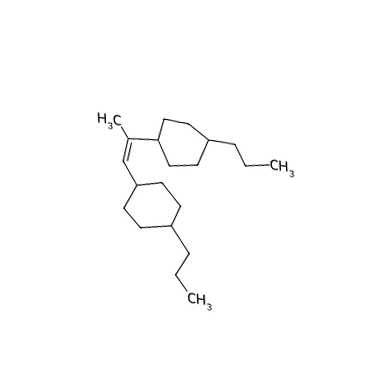 CCCC1CCC(C=C(C)C2CCC(CCC)CC2)CC1